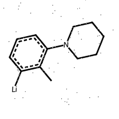 [Li][c]1cccc(N2CCCCC2)c1C